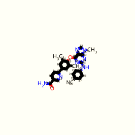 Cc1cc(-c2ccc(C(N)=O)cn2)cc(C)c1Oc1nc(Nc2ccc(C#N)cc2)nc2c1ncn2C